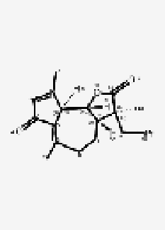 CC1=CC(=O)C2=C(C)CC[C@@H]3[C@@H](OC(=O)[C@@]3(C)CC(C)C)[C@H]12